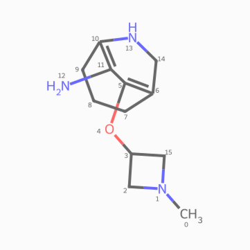 CN1CC(OC2=C3CCCC(=C2N)NC3)C1